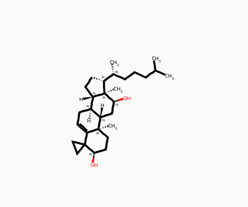 CC(C)CCC[C@@H](C)[C@H]1CC[C@H]2[C@@H]3CC=C4C5(CC5)[C@H](O)CC[C@]4(C)[C@H]3C[C@H](O)[C@]12C